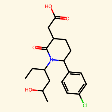 CCC(CC(C)O)N1C(=O)C(CC(=O)O)CCC1c1ccc(Cl)cc1